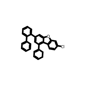 Clc1ccc2c(c1)oc1cc(-c3ccccc3-c3ccccc3)cc(C3=CC=CCC3)c12